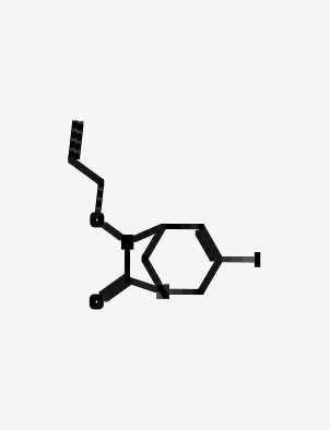 C=CCON1C(=O)N2CC(I)=CC1C2